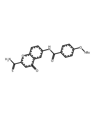 CCCCOc1ccc(C(=O)Nc2ccc3oc(C(N)=S)cc(=O)c3c2)cc1